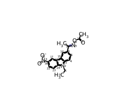 CCn1c2ccc(/C(C)=N/OC(C)=O)cc2c2cc([N+](=O)[O-])ccc21